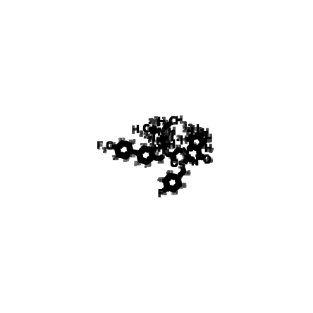 [2H]C([2H])(C)N(C([2H])([2H])C)C([2H])([2H])C([2H])([2H])N(Cc1ccc(-c2ccc(C(F)(F)F)cc2)cc1)C(=O)Cn1c(SCc2ccc(F)cc2)nc(=O)c2c1C([2H])([2H])C([2H])([2H])C2([2H])[2H]